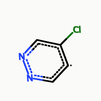 Clc1[c]cnnc1